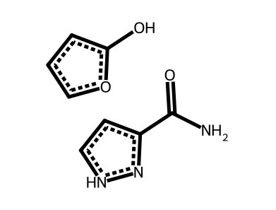 NC(=O)c1cc[nH]n1.Oc1ccco1